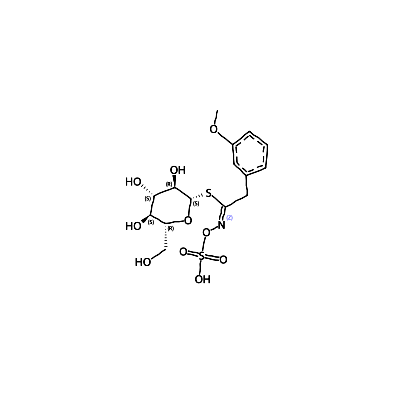 COc1cccc(C/C(=N/OS(=O)(=O)O)S[C@@H]2O[C@H](CO)[C@@H](O)[C@H](O)[C@H]2O)c1